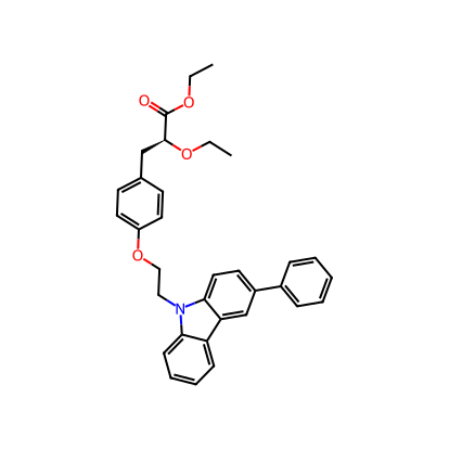 CCOC(=O)[C@H](Cc1ccc(OCCn2c3ccccc3c3cc(-c4ccccc4)ccc32)cc1)OCC